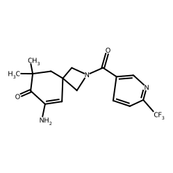 CC1(C)CC2(C=C(N)C1=O)CN(C(=O)c1ccc(C(F)(F)F)nc1)C2